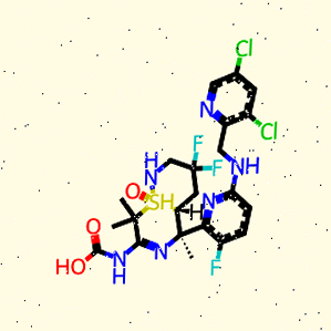 CC1(C)C(NC(=O)O)=N[C@](C)(c2nc(NCc3ncc(Cl)cc3Cl)ccc2F)[C@H]2CC(F)(F)CN[SH]21=O